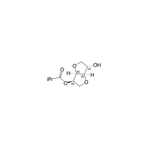 CC(C)C(=O)O[C@@H]1CO[C@H]2[C@@H]1OC[C@@H]2O